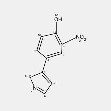 O=[N+]([O-])c1cc(-c2ccns2)ccc1O